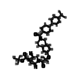 CC(C)c1ccc(-c2ccc(C(=O)N3CCc4cc(OC(C)(C)C(=O)N5C[C@@H]6C[C@H]5CN6C(=O)OC(C)(C)C)ccc4C3)cc2)cc1